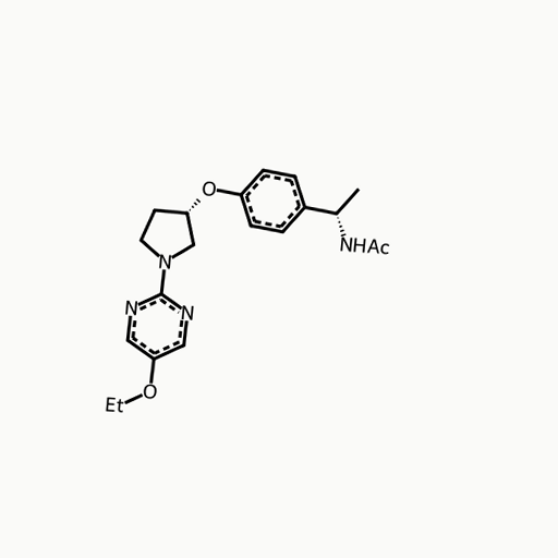 CCOc1cnc(N2CC[C@H](Oc3ccc([C@H](C)NC(C)=O)cc3)C2)nc1